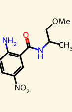 COCC(C)NC(=O)c1cc([N+](=O)[O-])ccc1N